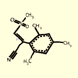 Cc1cc(C)c(/C(C#N)=C\S(C)(=O)=O)c(C)c1